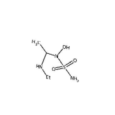 CCNC(C)N(O)S(N)(=O)=O